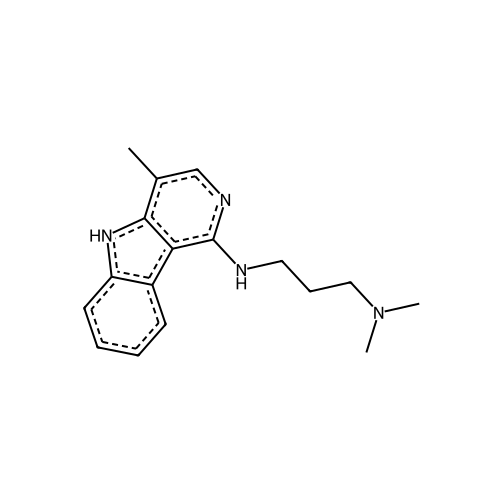 Cc1cnc(NCCCN(C)C)c2c1[nH]c1ccccc12